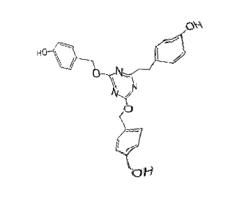 Oc1ccc(CCc2nc(OCc3ccc(O)cc3)nc(OCc3ccc(O)cc3)n2)cc1